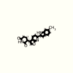 Cc1ccc2cc(-c3ccc4c(C5CCC(=O)NC5=O)coc4n3)[nH]c2c1